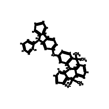 CC1(C)c2ccc(Oc3ccc4c5ccccc5n(-c5ccccn5)c4c3)cc2N2c3ncccc3C(C)(C)c3cccc1c32